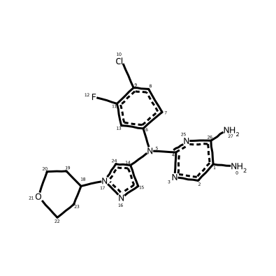 Nc1cnc(N(c2ccc(Cl)c(F)c2)c2cnn(C3CCOCC3)c2)nc1N